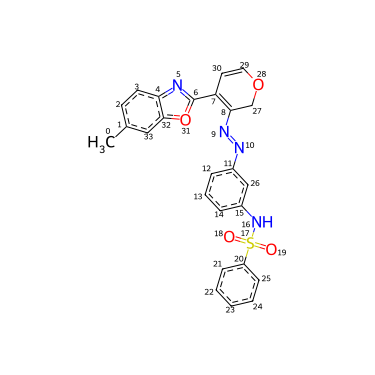 Cc1ccc2nc(C3=C(N=Nc4cccc(NS(=O)(=O)c5ccccc5)c4)COC=C3)oc2c1